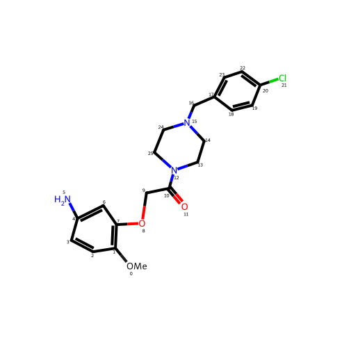 COc1ccc(N)cc1OCC(=O)N1CCN(Cc2ccc(Cl)cc2)CC1